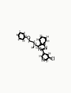 CN(CCOc1ccccc1)c1nc(-c2cncc(Cl)c2)nc2ccccc12